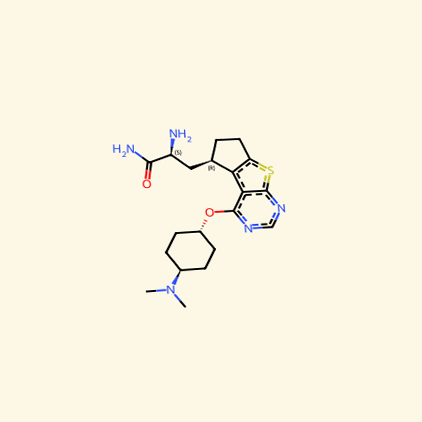 CN(C)[C@H]1CC[C@H](Oc2ncnc3sc4c(c23)[C@@H](C[C@H](N)C(N)=O)CC4)CC1